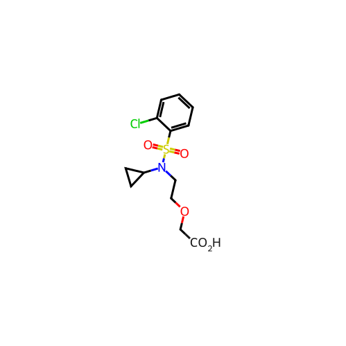 O=C(O)COCCN(C1CC1)S(=O)(=O)c1ccccc1Cl